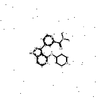 CN(C)C(=O)c1cc(-c2n[nH]c3ccnc(OC4CCOCC4)c23)ccn1